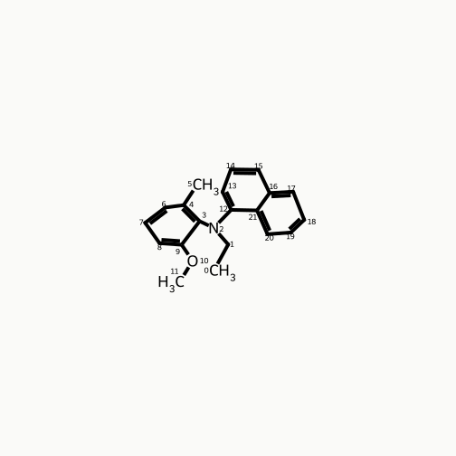 CCN(c1c(C)cccc1OC)c1cccc2ccccc12